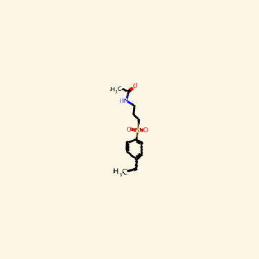 CCc1ccc(S(=O)(=O)CCCNC(C)=O)cc1